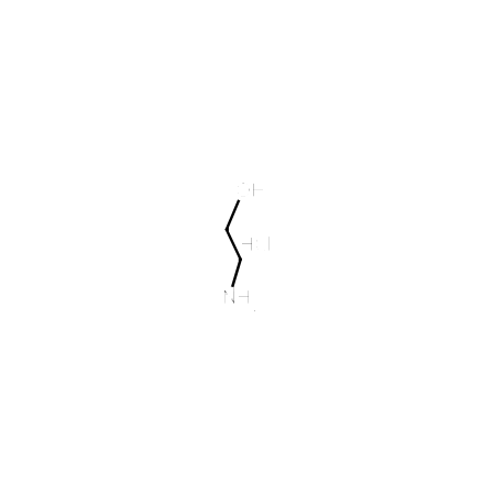 Cl.NCCO